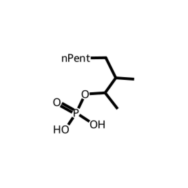 CCCCCCC(C)C(C)OP(=O)(O)O